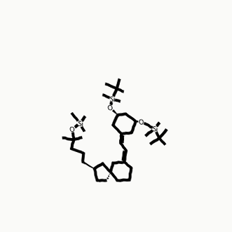 CC(C)(CCC[C@@H]1CC[C@]2(CCC/C(=C/C=C3C[C@@H](O[Si](C)(C)C(C)(C)C)C[C@H](O[Si](C)(C)C(C)(C)C)C3)C2)C1)O[Si](C)(C)C